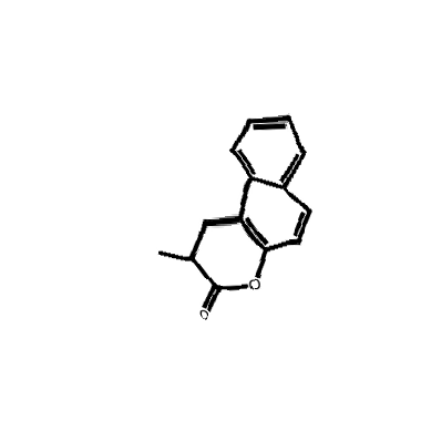 CC1Cc2c(ccc3ccccc23)OC1=O